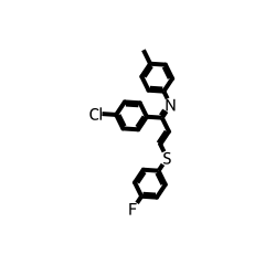 Cc1ccc(N=C(C=CSc2ccc(F)cc2)c2ccc(Cl)cc2)cc1